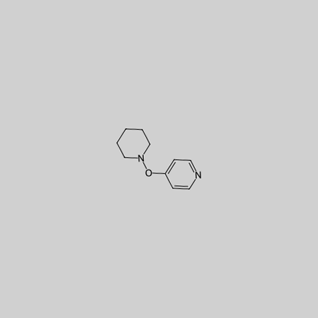 c1cc(ON2CCCCC2)ccn1